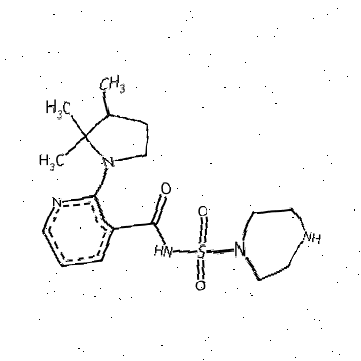 CC1CCN(c2ncccc2C(=O)NS(=O)(=O)N2CCNCC2)C1(C)C